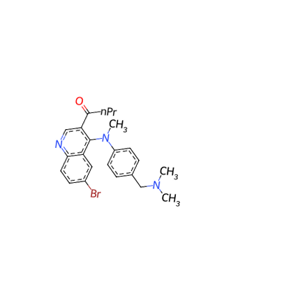 CCCC(=O)c1cnc2ccc(Br)cc2c1N(C)c1ccc(CN(C)C)cc1